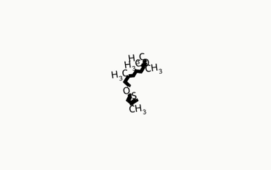 COC(C)(C)CCCC(C)CCOc1cc(C)cs1